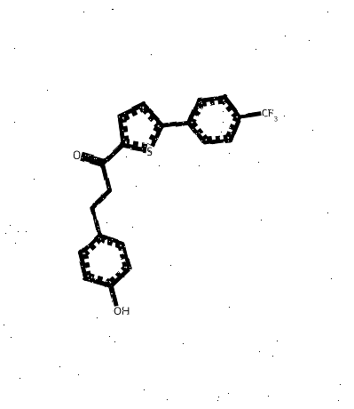 O=C(CCc1ccc(O)cc1)c1ccc(-c2ccc(C(F)(F)F)cc2)s1